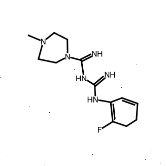 CN1CCN(C(=N)NC(=N)NC2=C(F)CCC=C2)CC1